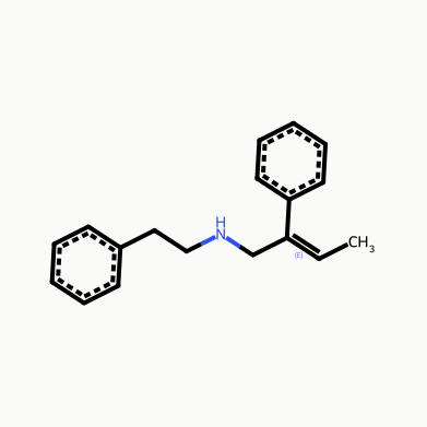 C/C=C(/CNCCc1ccccc1)c1ccccc1